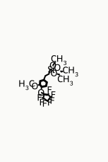 CCO[Si](CCCc1ccc(OC2=C(F)C(F)(F)C(F)(F)C2(F)F)c(OC)c1)(OCC)OCC